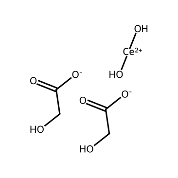 O=C([O-])CO.O=C([O-])CO.[OH][Ce+2][OH]